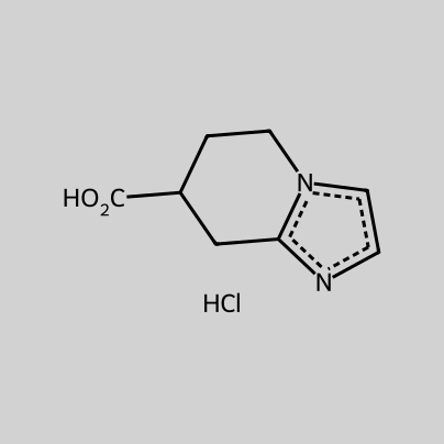 Cl.O=C(O)C1CCn2ccnc2C1